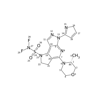 C[C@@H]1COCCN1c1nc2c(cnn2C2=NCC=C2)c2c1CCN2S(=O)(=O)N(F)F